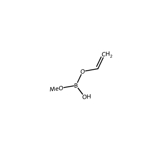 C=COB(O)OC